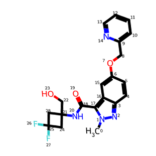 Cn1nc2ccc(OCc3ccccn3)cc2c1C(=O)NC1(CO)CC(F)(F)C1